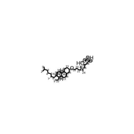 CC(C)CCC[C@@H](C)[C@H]1CC[C@H]2[C@@H]3CC=C4C[C@@H](OCCC[N+](C)(C)CC(O)CS(=O)(=O)O)CC[C@]4(C)[C@H]3CC[C@]12C